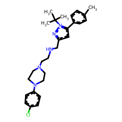 Cc1ccc(-c2cc(CNCCN3CCN(c4ccc(Cl)cc4)CC3)nn2C(C)(C)C)cc1